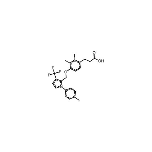 Cc1ccc(-n2ccc(C(F)(F)F)c2COc2ccc(CCC(=O)O)c(C)c2C)cc1